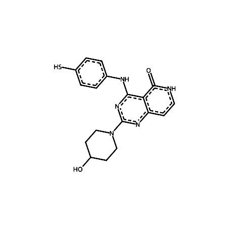 O=c1[nH]ccc2nc(N3CCC(O)CC3)nc(Nc3ccc(S)cc3)c12